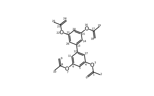 C=C(C)Oc1cc(OC(=C)C)cc(-c2cc(OC(=C)C)cc(OC(=C)C)c2)c1